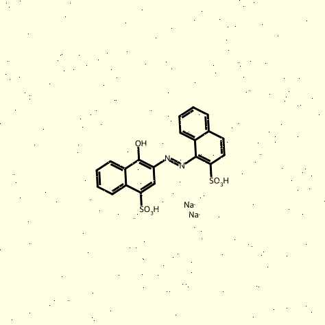 O=S(=O)(O)c1ccc2ccccc2c1N=Nc1cc(S(=O)(=O)O)c2ccccc2c1O.[Na].[Na]